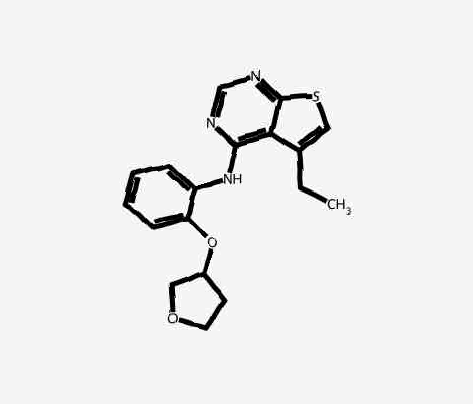 CCc1csc2ncnc(Nc3ccccc3OC3CCOC3)c12